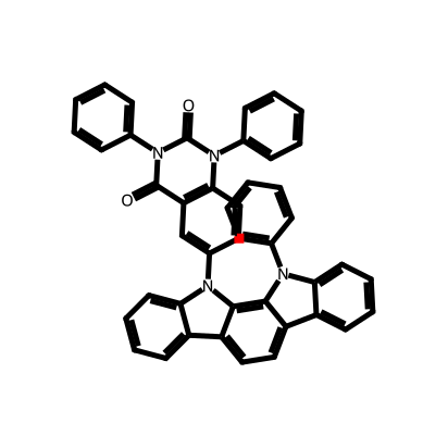 O=c1c2cc(-n3c4ccccc4c4ccc5c6ccccc6n(-c6ccccc6)c5c43)ccc2n(-c2ccccc2)c(=O)n1-c1ccccc1